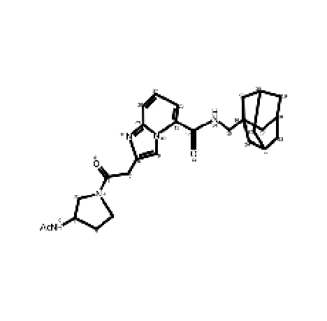 CC(=O)NC1CCN(C(=O)Cc2cn3c(C(=O)NCC45CC6CC(CC(C6)C4)C5)cccc3n2)C1